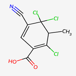 CC1C(Cl)=C(C(=O)O)C=C(C#N)C1(Cl)Cl